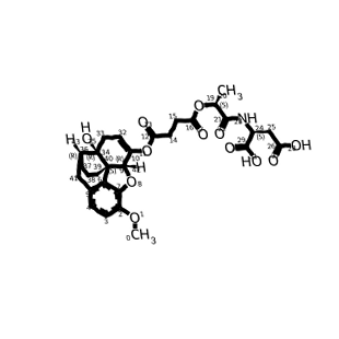 COc1ccc2c3c1O[C@H]1C(OC(=O)CCC(=O)O[C@@H](C)C(=O)N[C@@H](CC(=O)O)C(=O)O)=CC[C@@]4(O)[C@H](CCC[C@]314)C2